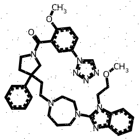 COCCn1c(N2CCCN(CCC3(c4ccccc4)CCN(C(=O)c4cc(-n5cnnn5)ccc4OC)C3)CC2)nc2ccccc21